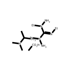 CC(=O)O.CC(C(=O)O)N(C)C.CCN=C(N(N)CC)N(N)CC